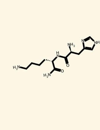 NCCCC[C@H](NC(=O)[C@@H](N)Cc1c[nH]cn1)C(N)=O